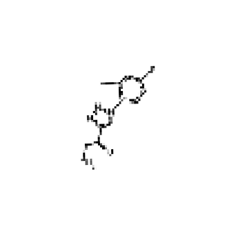 CCC(=O)c1cn(-c2ccc(F)cc2F)nn1